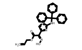 C=CCOC(=O)C(=NO)c1csc(NC(c2ccccc2)(c2ccccc2)c2ccccc2)n1